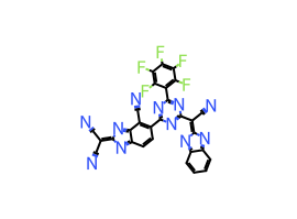 N#CC(C#N)=C1N=c2ccc(-c3nc(C(C#N)=C4N=c5ccccc5=N4)nc(-c4c(F)c(F)c(F)c(F)c4F)n3)c(C#N)c2=N1